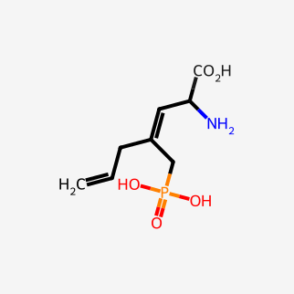 C=CCC(=CC(N)C(=O)O)CP(=O)(O)O